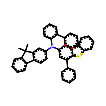 CC1(C)c2ccccc2-c2ccc(N(c3cc(-c4ccccc4)c4sc5ccccc5c4c3)c3ccccc3-c3ccccc3)cc21